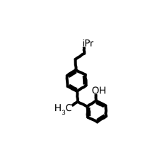 CC(C)CCc1ccc(C(C)c2ccccc2O)cc1